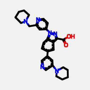 O=C(O)c1nn(-c2ccnc(CN3CCCCC3)c2)c2ccc(-c3cncc(N4CCCCC4)c3)cc12